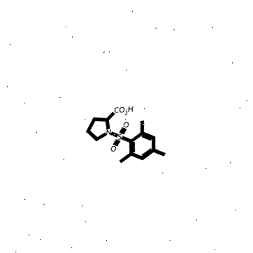 Cc1cc(C)c(S(=O)(=O)N2CCCC2C(=O)O)c(C)c1